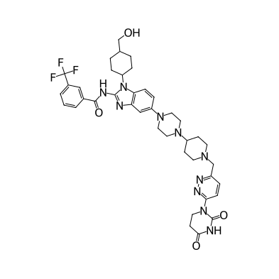 O=C1CCN(c2ccc(CN3CCC(N4CCN(c5ccc6c(c5)nc(NC(=O)c5cccc(C(F)(F)F)c5)n6C5CCC(CO)CC5)CC4)CC3)nn2)C(=O)N1